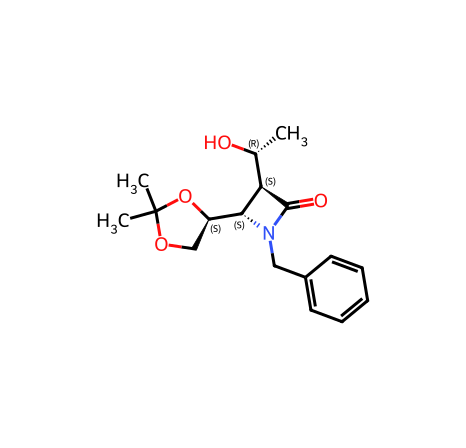 C[C@@H](O)[C@H]1C(=O)N(Cc2ccccc2)[C@@H]1[C@H]1COC(C)(C)O1